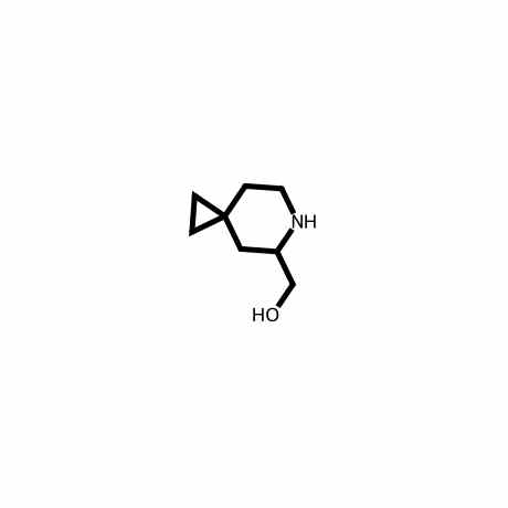 OCC1CC2(CCN1)CC2